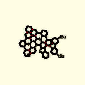 CC(C)(C)c1ccc2c(c1)c1cc(C(C)(C)C)ccc1n2-c1cc2c(c3sc4ccccc4c13)B1c3ccc(Cl)cc3N(c3c(-c4ccccc4)cccc3-c3ccccc3)c3cc(-c4ccccc4)cc(c31)N2c1c(-c2ccccc2)cccc1-c1ccccc1